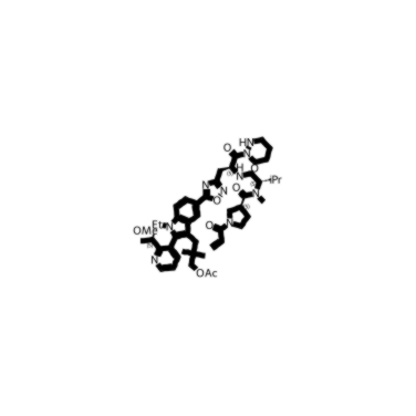 C=CC(=O)N1CC[C@H](C(=O)N(C)[C@H](C(=O)N[C@@H](Cc2noc(-c3ccc4c(c3)c(CC(C)(C)COC(C)=O)c(-c3cccnc3[C@H](C)OC)n4CC)n2)C(=O)N2CCCCN2)C(C)C)C1